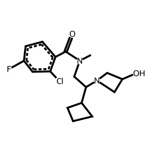 CN(CC(C1CCC1)N1CC(O)C1)C(=O)c1ccc(F)cc1Cl